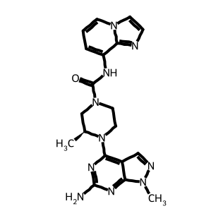 C[C@H]1CN(C(=O)Nc2cccn3ccnc23)CCN1c1nc(N)nc2c1cnn2C